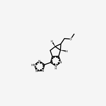 COCC1[C@H]2Cc3c(n[nH]c3-c3nn[nH]n3)[C@@H]12